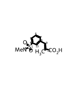 CNS(=O)(=O)c1cccc(C=C(C)C(=O)O)c1